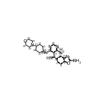 N=C(c1ccc2oc(N)nc2c1)c1c(N)ncnc1NC1CCC(N2CCOCC2)CC1